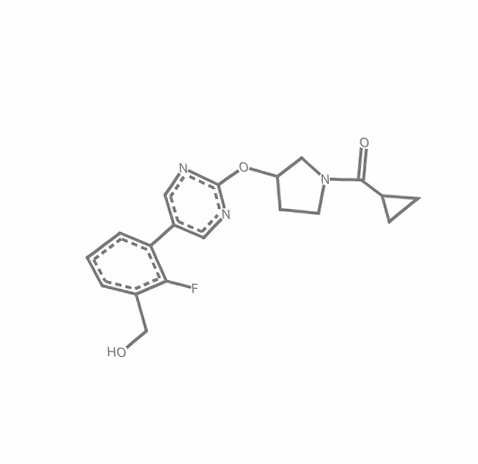 O=C(C1CC1)N1CCC(Oc2ncc(-c3cccc(CO)c3F)cn2)C1